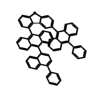 c1ccc(-c2ccc(-c3c4ccccc4c(-c4cccc5oc6ccc(-c7c8ccccc8c(-c8ccccc8)c8ccccc78)cc6c45)c4ccccc34)c3ccccc23)cc1